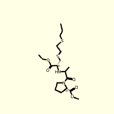 CCCSCCSC[C@H](NC(C)C(=O)N1CCC[C@H]1C(=O)OC)C(=O)OCC